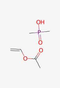 C=COC(C)=O.CP(C)(=O)O